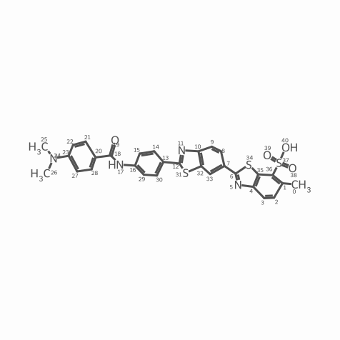 Cc1ccc2nc(-c3ccc4nc(-c5ccc(NC(=O)c6ccc(N(C)C)cc6)cc5)sc4c3)sc2c1S(=O)(=O)O